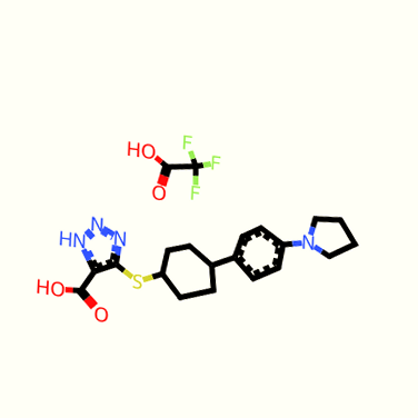 O=C(O)C(F)(F)F.O=C(O)c1[nH]nnc1SC1CCC(c2ccc(N3CCCC3)cc2)CC1